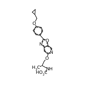 C[C@@H](COc1cc2nc(-c3ccc(OCC4CC4)cc3)oc2cn1)NC(=O)O